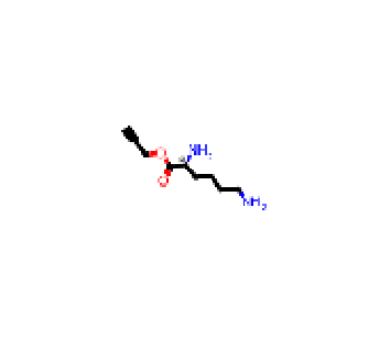 C#CCOC(=O)[C@@H](N)CCCCN